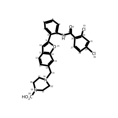 O=C(Nc1ccccc1-c1cc2ccc(CN3CCN(C(=O)O)CC3)cc2o1)c1ccc(Cl)cc1Cl